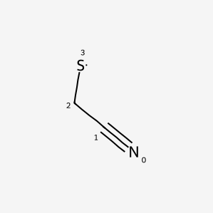 N#CC[S]